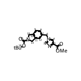 COC(=O)c1cn(Cc2ccc3c(c2)CN(C(=O)OC(C)(C)C)C3)nn1